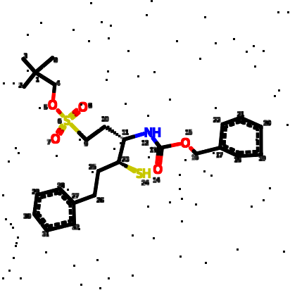 CC(C)(C)COS(=O)(=O)CC[C@H](NC(=O)OCc1ccccc1)[C@@H](S)CCc1ccccc1